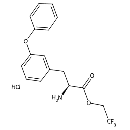 Cl.N[C@@H](Cc1cccc(Oc2ccccc2)c1)C(=O)OCC(F)(F)F